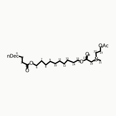 CCCCCCCCCCCCC(=O)OCCCCCCCCCCOC(=O)CN(C)CCOC(C)=O